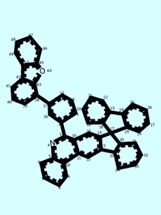 c1cc(-c2nc3ccccc3c3cc4c(cc23)C2(c3ccccc3-c3ccccc32)c2ccccc2-4)cc(-c2cccc3c2oc2ccccc23)c1